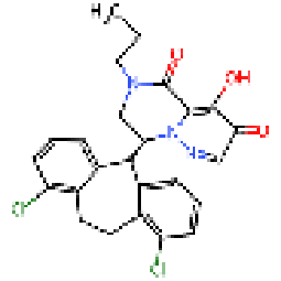 CCCN1C[C@H](C2c3cccc(Cl)c3CCc3c(Cl)cccc32)n2ncc(=O)c(O)c2C1=O